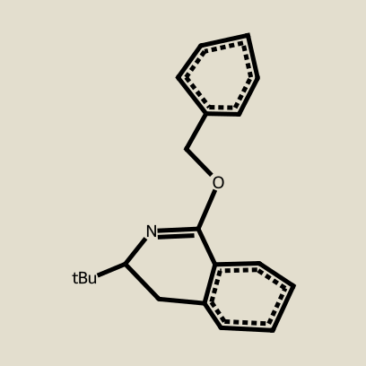 CC(C)(C)C1Cc2ccccc2C(OCc2ccccc2)=N1